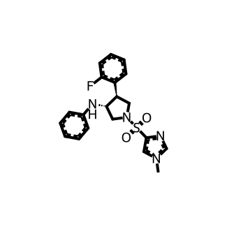 Cn1cnc(S(=O)(=O)N2C[C@H](Nc3ccccc3)[C@@H](c3ccccc3F)C2)c1